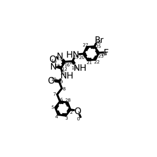 COc1cccc(CCC(=O)Nc2nonc2C(=N)Nc2ccc(F)c(Br)c2)c1